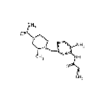 C=CC(=O)Nc1cc(CN2CCN(C(C)=O)CC2C)ccc1N